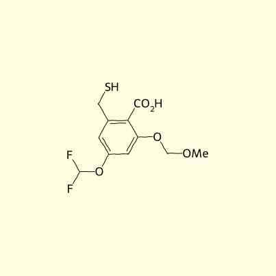 COCOc1cc(OC(F)F)cc(CS)c1C(=O)O